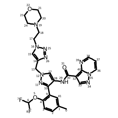 Cc1ccc(OC(F)F)c(-c2nn(Cc3cn(CCN4CCOCC4)nn3)cc2NC(=O)c2cnn3cccnc23)c1